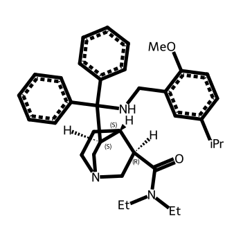 CCN(CC)C(=O)[C@H]1CN2CC[C@H]1[C@H](C(NCc1cc(C(C)C)ccc1OC)(c1ccccc1)c1ccccc1)C2